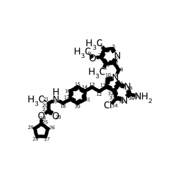 COc1c(C)cnc(Cn2cc(CCc3ccc(CN[C@@H](C)C(=O)OC4CCCC4)cc3)c3c(Cl)nc(N)nc32)c1C